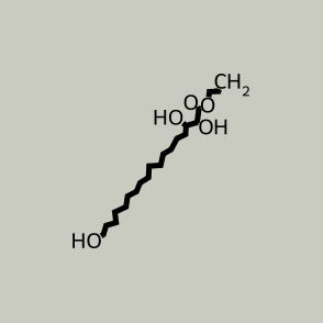 C=CCOC(=O)C(O)C(O)CCCCCCCCCCCCCCCO